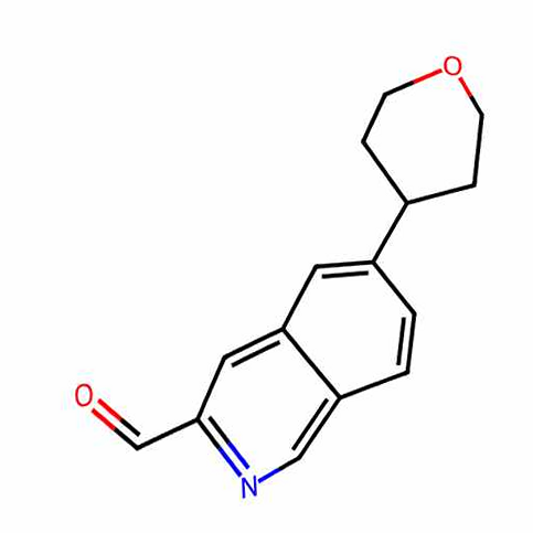 O=Cc1cc2cc(C3CCOCC3)ccc2cn1